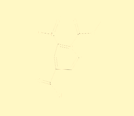 COC(=O)c1ccc(C(=O)Cl)cc1[N+](=O)[O-]